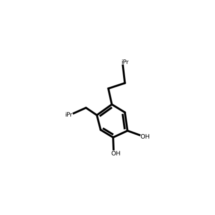 CC(C)CCc1cc(O)c(O)cc1CC(C)C